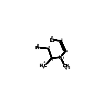 CC/C=C\N(C)C(C)CC(C)C